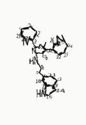 c1ccc(-c2nc(NCCc3ccc4cc[nH]c4c3)cc(-c3cccnc3)n2)nc1